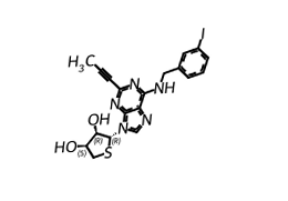 CC#Cc1nc(NCc2cccc(I)c2)c2ncn([C@@H]3SC[C@@H](O)[C@H]3O)c2n1